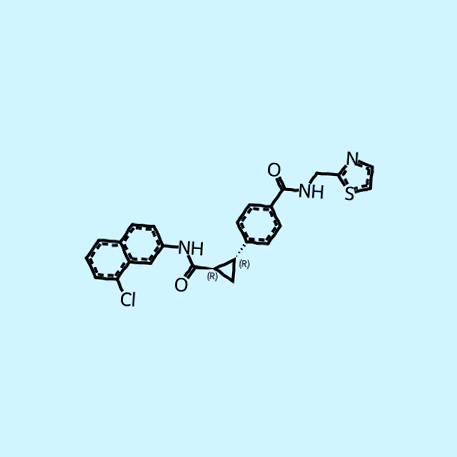 O=C(NCc1nccs1)c1ccc([C@@H]2C[C@H]2C(=O)Nc2ccc3cccc(Cl)c3c2)cc1